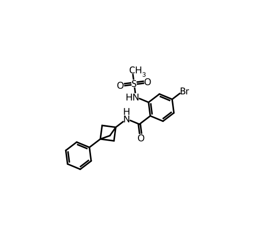 CS(=O)(=O)Nc1cc(Br)ccc1C(=O)NC12CC(c3ccccc3)(C1)C2